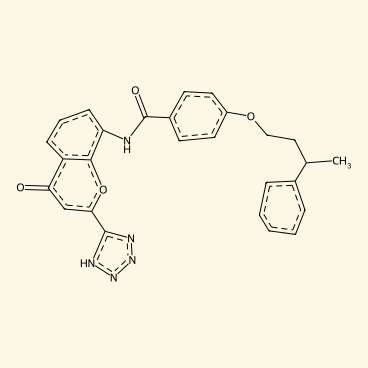 CC(CCOc1ccc(C(=O)Nc2cccc3c(=O)cc(-c4nnn[nH]4)oc23)cc1)c1ccccc1